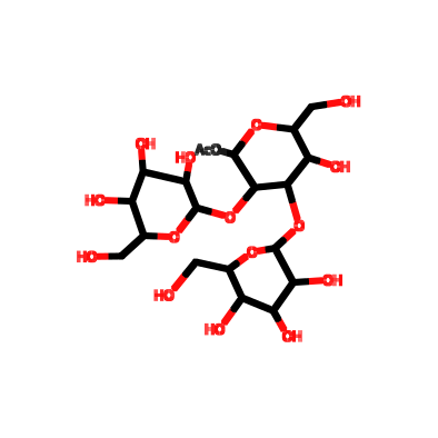 CC(=O)OC1OC(CO)C(O)C(OC2OC(CO)C(O)C(O)C2O)C1OC1OC(CO)C(O)C(O)C1O